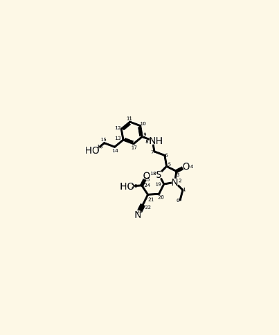 CCN1C(=O)C(CCNc2cccc(CCO)c2)SC1CC(C#N)C(=O)O